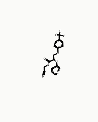 N#CCOC(=O)C(COc1ccc(C(F)(F)F)cc1)Oc1ccccc1